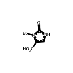 CCn1c(C(=O)O)c[nH]c1=O